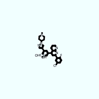 CN1CCC(n2cc(-c3cncc(-c4cc(-c5cc(Cl)ccc5F)nc5ncccc45)c3)cn2)CC1.O=CO